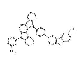 Cc1cccc(-n2c3ccccc3c3c2ccc2c4ccccc4n(-c4ccc(-c5ccc6sc7ccc(C)cc7c6c5)cc4)c23)c1